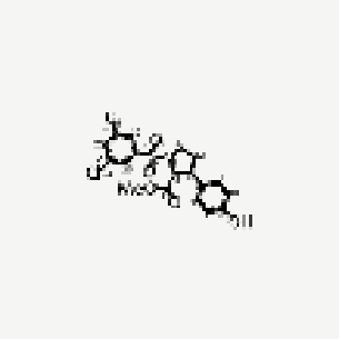 COC(=O)[C@@H]1C(c2ccc(O)cc2)CCN1S(=O)(=O)c1cc(Cl)cc(Cl)c1